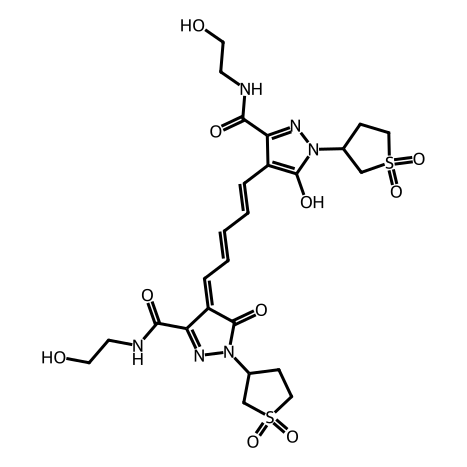 O=C(NCCO)C1=NN(C2CCS(=O)(=O)C2)C(=O)C1=CC=CC=Cc1c(C(=O)NCCO)nn(C2CCS(=O)(=O)C2)c1O